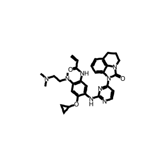 C=CC(=O)Nc1cc(Nc2nccc(-n3c(=O)n4c5c(cccc53)CCC4)n2)c(OC2CC2)cc1N(C)CCN(C)C